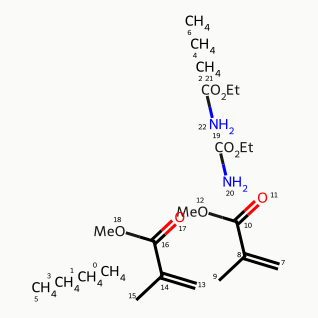 C.C.C.C.C.C.C.C=C(C)C(=O)OC.C=C(C)C(=O)OC.CCOC(N)=O.CCOC(N)=O